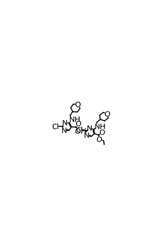 CCOC(=O)c1cnc(Cl)nc1NCC1CCOCC1.O=C(O)c1cnc(Cl)nc1NCC1CCOCC1